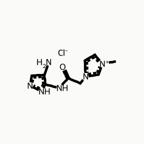 C[n+]1ccn(CC(=O)Nc2[nH]ncc2N)c1.[Cl-]